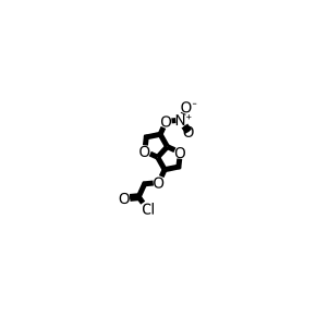 O=C(Cl)COC1COC2C(O[N+](=O)[O-])COC12